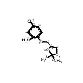 CC1(C)OC[C@H](COc2ccc(Cl)cc2N)O1